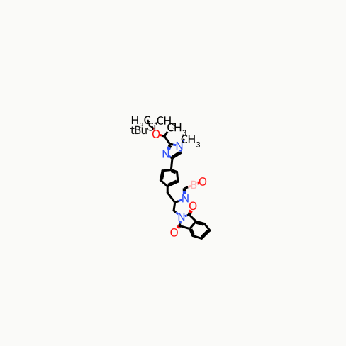 CC(O[Si](C)(C)C(C)(C)C)c1nc(-c2ccc(CC(CN3C(=O)c4ccccc4C3=O)/N=C/B=O)cc2)cn1C